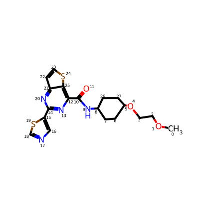 COCCOC1CCC(NC(=O)c2nc(-c3cncs3)nc3ccsc23)CC1